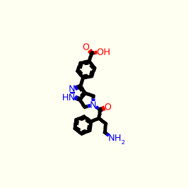 NCCC(C(=O)N1Cc2[nH]nc(-c3ccc(C(=O)O)cc3)c2C1)c1ccccc1